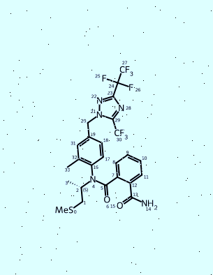 CSC[C@H](C)N(C(=O)c1ccccc1C(N)=O)c1ccc(Cn2nc(C(F)(F)C(F)(F)F)nc2C(F)(F)F)cc1C